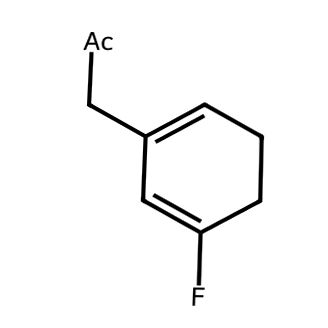 CC(=O)CC1=CCCC(F)=C1